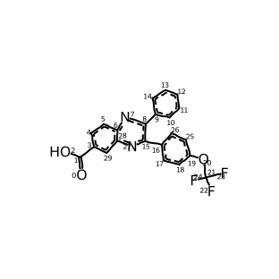 O=C(O)c1ccc2nc(-c3ccccc3)c(-c3ccc(OC(F)(F)F)cc3)nc2c1